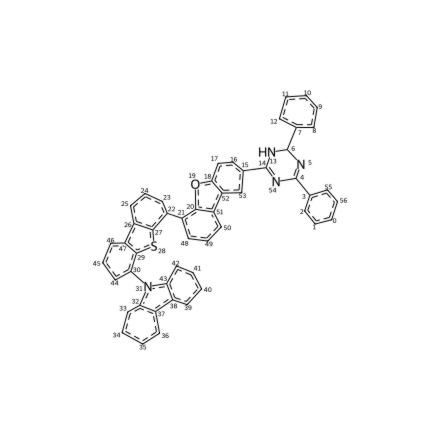 c1ccc(C2=NC(c3ccccc3)NC(c3ccc4oc5c(-c6cccc7c6sc6c(-n8c9ccccc9c9ccccc98)cccc67)cccc5c4c3)=N2)cc1